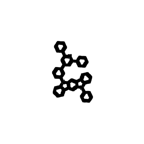 c1ccc(-c2cc(-c3cccc(-n4c5ccccc5c5cc6c(cc54)c4ccccc4n6-c4ccccc4)c3)cc(-c3ccccc3)n2)cc1